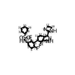 O=S(=O)(Nc1ccc(F)c(-c2ccc3c(-c4ncc[nH]4)n[nH]c3c2F)c1F)c1ccccc1